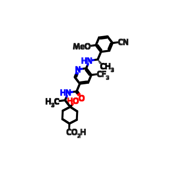 COc1ccc(C#N)cc1[C@H](C)Nc1ncc(C(=O)NC(C)C2(O)CCC(C(=O)O)CC2)cc1C(F)(F)F